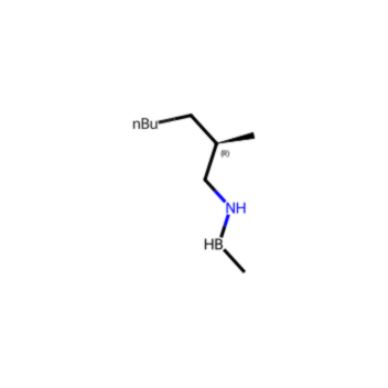 CBNC[C@H](C)CCCCC